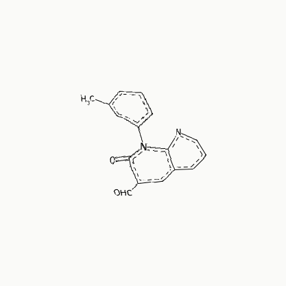 Cc1cccc(-n2c(=O)c(C=O)cc3cccnc32)c1